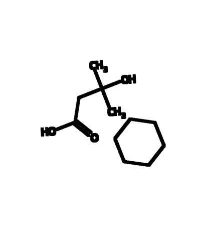 C1CCCCC1.CC(C)(O)CC(=O)O